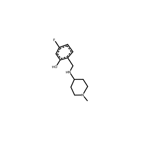 CN1CCC(NCc2ccc(F)cc2O)CC1